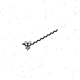 C=CCC(CCCCCCCCCCCCCCCCCC)(C(=O)[O-])[N+](C)(C)C